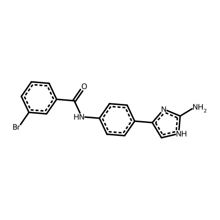 Nc1nc(-c2ccc(NC(=O)c3cccc(Br)c3)cc2)c[nH]1